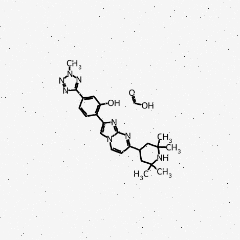 Cn1nnc(-c2ccc(-c3cn4ccc(C5CC(C)(C)NC(C)(C)C5)nc4n3)c(O)c2)n1.O=CO